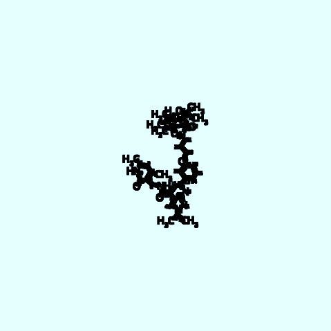 Cc1cc(C)c(CNC(=O)c2cc(-c3cccc(OCCCN(O[Si](C)(C)C(C)(C)C)C(=O)OC(C)(C)C)c3)nc3nn(C(C)C)cc23)c(=O)[nH]1